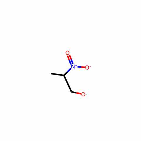 CC(C[O])[N+](=O)[O-]